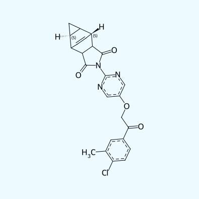 Cc1cc(C(=O)COc2cnc(N3C(=O)C4C(C3=O)[C@@H]3C=CC4[C@H]4CC34)nc2)ccc1Cl